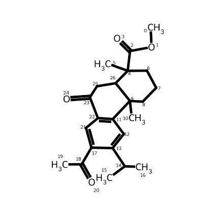 COC(=O)C1(C)CCCC2(C)c3cc(C(C)C)c(C(C)=O)cc3C(=O)CC12